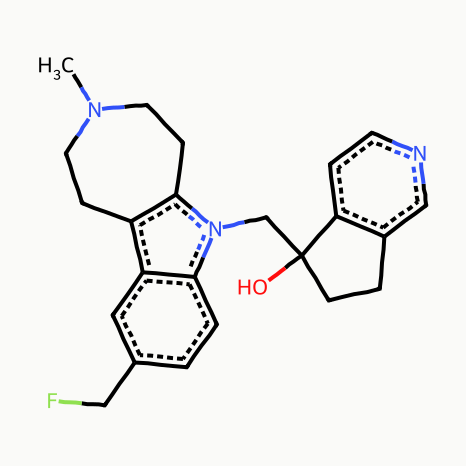 CN1CCc2c(n(CC3(O)CCc4cnccc43)c3ccc(CF)cc23)CC1